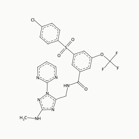 CNc1nc(CNC(=O)c2cc(OC(F)(F)F)cc(S(=O)(=O)c3ccc(Cl)cc3)c2)n(-c2ncccn2)n1